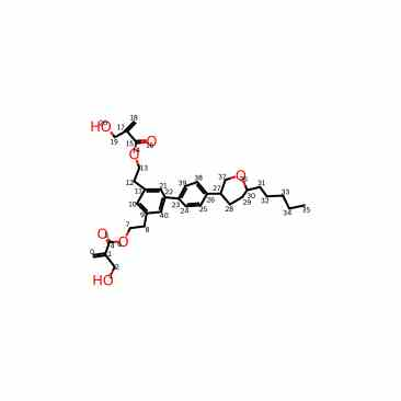 C=C(CO)C(=O)OCCc1cc(CCOC(=O)C(=C)CO)cc(-c2ccc(C3CCC(CCCCC)OC3)cc2)c1